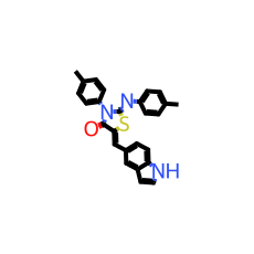 Cc1ccc(N=C2SC(=Cc3ccc4[nH]ccc4c3)C(=O)N2c2ccc(C)cc2)cc1